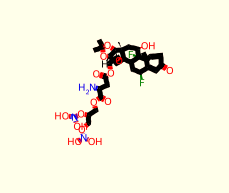 CC1(C)O[C@@H]2CC3C4C[C@H](F)C5=CC(=O)C=CC5(C)[C@@]4(F)[C@@H](O)C[C@]3(C)[C@]2(C(=O)COC(=O)CC(N)C(=O)OCC(CON(O)O)ON(O)O)O1